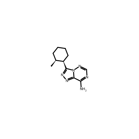 C[C@H]1CCCC[C@H]1c1nnc2c(N)ncnn12